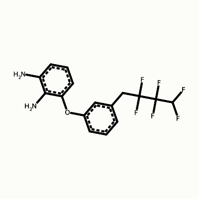 Nc1cccc(Oc2cccc(CC(F)(F)C(F)(F)C(F)F)c2)c1N